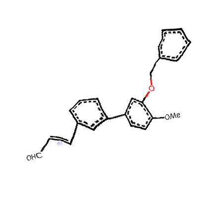 COc1ccc(-c2cccc(/C=C/C=O)c2)cc1OCc1ccccc1